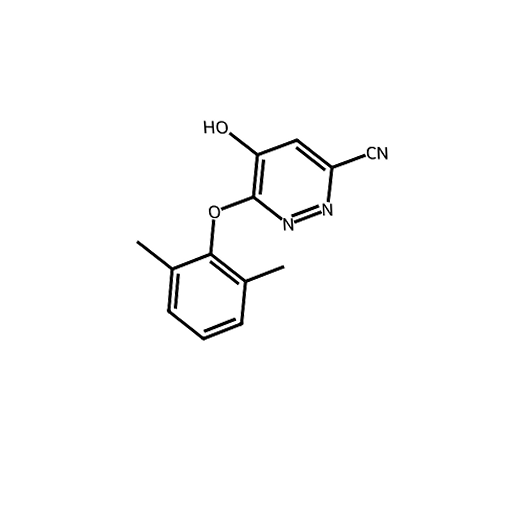 Cc1cccc(C)c1Oc1nnc(C#N)cc1O